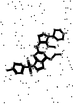 CCOc1nc(Nc2cnn(C3CCOCC3)c2OC)nc2c1ccn2S(=O)(=O)c1ccc(C)cc1